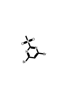 CS(=O)(=O)c1nc(Br)cc(Br)n1